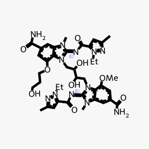 CCn1nc(C)cc1C(=O)/N=c1\n(C)c2cc(C(N)=O)cc(OC)c2n1CC(O)C(O)Cn1/c(=N/C(=O)c2cc(C)nn2CC)n(C)c2cc(C(N)=O)cc(OCCCO)c21